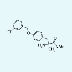 CNC(=O)C(C)(N)Cc1ccc(OCc2cccc(Cl)c2)cc1